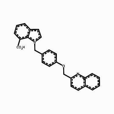 O=C(O)c1cccc2ccn(Cc3ccc(OCc4ccc5ccccc5n4)cc3)c12